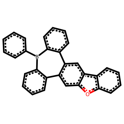 c1ccc(B2c3ccccc3-c3cc4oc5ccccc5c4cc3-c3ccccc32)cc1